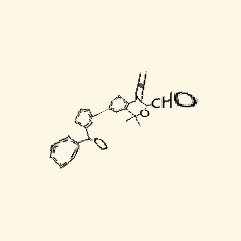 CC1(C)OC(C=O)Nc2ccc(-c3cccc(C(=O)c4ccccc4)c3)cc21